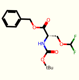 CC(C)(C)OC(=O)N[C@@H](COC(F)F)C(=O)OCc1ccccc1